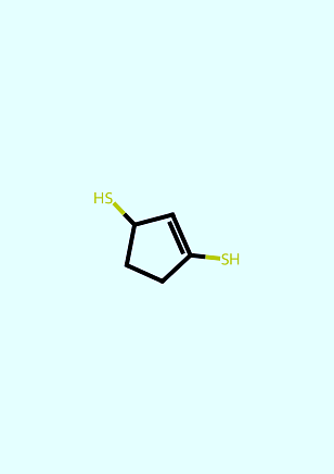 SC1=CC(S)CC1